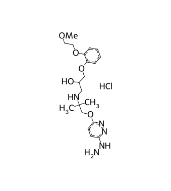 COCCOc1ccccc1OCC(O)CNC(C)(C)COc1ccc(NN)nn1.Cl